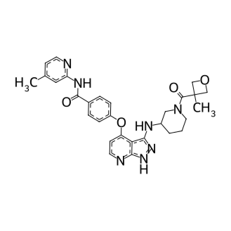 Cc1ccnc(NC(=O)c2ccc(Oc3ccnc4[nH]nc(NC5CCCN(C(=O)C6(C)COC6)C5)c34)cc2)c1